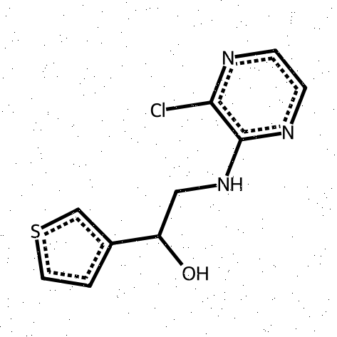 OC(CNc1nccnc1Cl)c1ccsc1